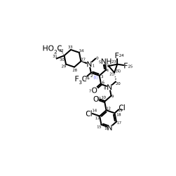 CN(/C(=C(\C=N)C(=O)N(CC(=O)c1c(Cl)cncc1Cl)C[C@@H]1CC1(F)F)C(F)(F)F)[C@H]1CC[C@](C)(C(=O)O)CC1